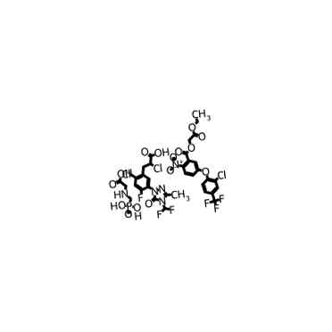 CCOC(=O)COC(=O)c1cc(Oc2ccc(C(F)(F)F)cc2Cl)ccc1[N+](=O)[O-].Cc1nn(-c2cc(CC(Cl)C(=O)O)c(Cl)cc2F)c(=O)n1C(F)F.O=C(O)CNCP(=O)(O)O